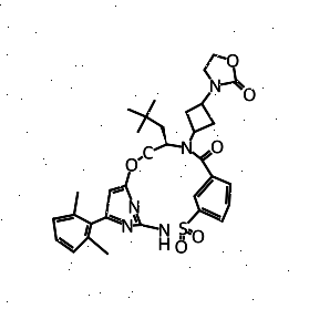 Cc1cccc(C)c1-c1cc2nc(n1)NS(=O)(=O)c1cccc(c1)C(=O)N(C1CC(N3CCOC3=O)C1)[C@H](CC(C)(C)C)CO2